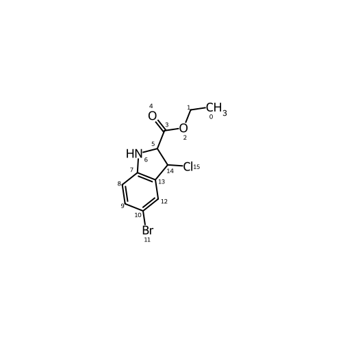 CCOC(=O)C1Nc2ccc(Br)cc2C1Cl